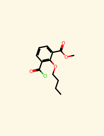 CCCCOc1c(C(=O)Cl)cccc1C(=O)OC